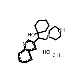 Cl.Cl.OC1(C(CN2CCNCC2)c2cnc3ccccc3c2)CCCCC1